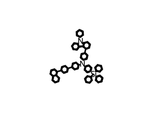 c1ccc(-n2c3ccccc3c3c(-c4ccc(N(c5ccc(-c6ccc(-c7cccc8ccccc78)cc6)cc5)c5ccc([Si](c6ccccc6)(c6ccccc6)c6ccccc6)cc5)cc4)cccc32)cc1